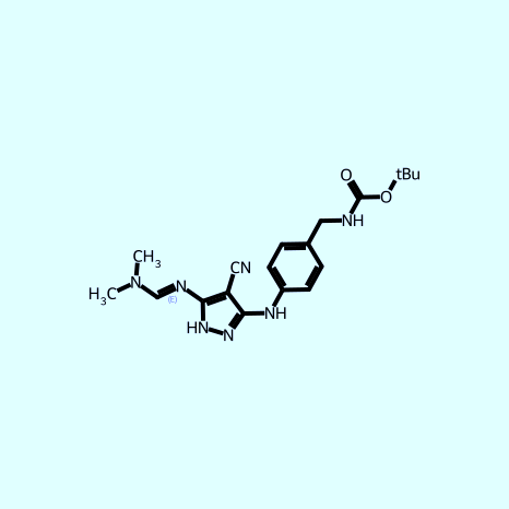 CN(C)/C=N/c1[nH]nc(Nc2ccc(CNC(=O)OC(C)(C)C)cc2)c1C#N